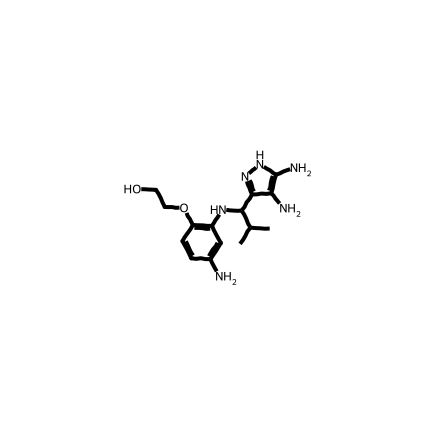 CC(C)C(Nc1cc(N)ccc1OCCO)c1n[nH]c(N)c1N